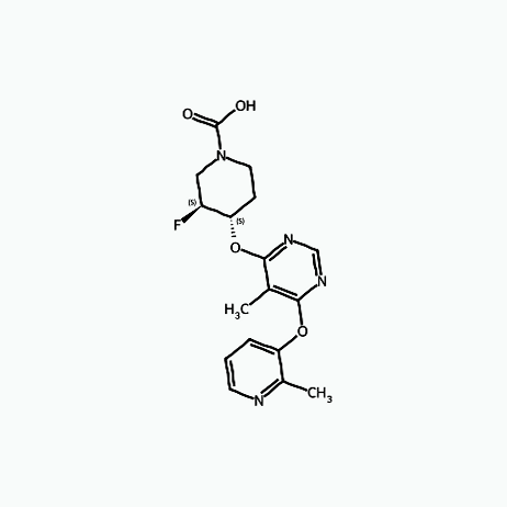 Cc1ncccc1Oc1ncnc(O[C@H]2CCN(C(=O)O)C[C@@H]2F)c1C